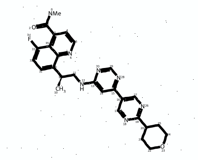 CNC(=O)c1ccnc2c([C@H](C)CNc3cc(-c4cnc(C5CCOCC5)nc4)ncn3)ccc(F)c12